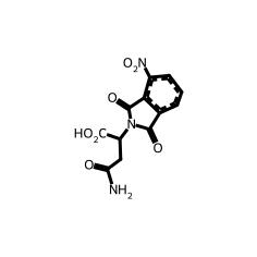 NC(=O)CC(C(=O)O)N1C(=O)c2cccc([N+](=O)[O-])c2C1=O